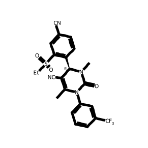 CCS(=O)(=O)c1cc(C#N)ccc1[C@@H]1C(C#N)=C(C)N(c2cccc(C(F)(F)F)c2)C(=O)N1C